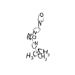 CC(C)(C)c1ccc(-c2nnc(N3CCC(N4CCOCC4)CC3)o2)nc1